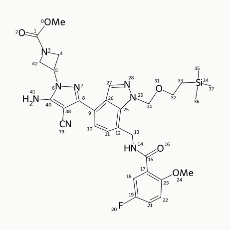 COC(=O)N1CC(n2nc(-c3ccc(CNC(=O)c4cc(F)ccc4OC)c4c3cnn4COCC[Si](C)(C)C)c(C#N)c2N)C1